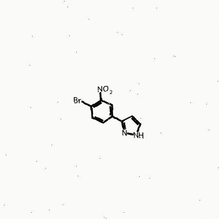 O=[N+]([O-])c1cc(-c2cc[nH]n2)ccc1Br